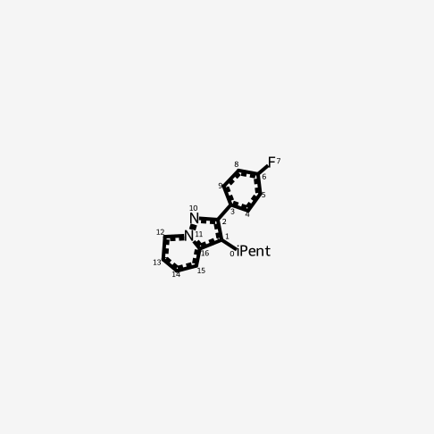 C[CH]CC(C)c1c(-c2ccc(F)cc2)nn2ccccc12